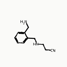 N#CCCNCc1ccccc1CN